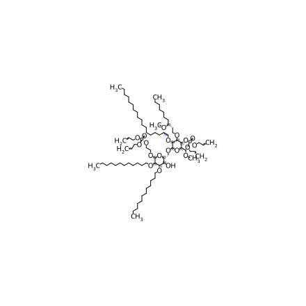 C=CCOP(=O)(OCC=C)OCCO[C@H]1O[C@H](CO[C@@H]2O[C@H](COC)[C@@H](OP(=O)(OCC=C)OCC=C)[C@H](OCC[C@@H](CCCCCCC)OC)[C@H]2O/C=C\CCCCCCCCCCCCCCCC)[C@@H](O)[C@H](OCCCCCCCCCCCC)[C@H]1OCCCCCCCCCCCC